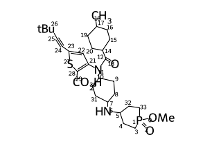 COP1(=O)CCC(NC2CCC(N(C(=O)C3CCC(C)CC3)c3cc(C#CC(C)(C)C)sc3C(=O)O)CC2)CC1